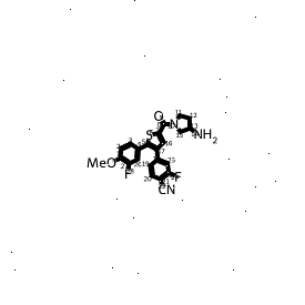 COc1ccc(-c2sc(C(=O)N3CCC(N)C3)cc2-c2ccc(C#N)c(F)c2)cc1F